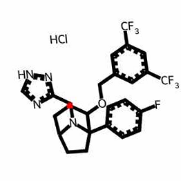 Cl.Fc1ccc(C23CCC(CCC2OCc2cc(C(F)(F)F)cc(C(F)(F)F)c2)N3Cc2nc[nH]n2)cc1